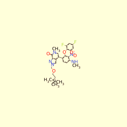 CNc1ccc(-c2cn(C)c(=O)c3nn(COCC[Si](C)(C)C)cc23)c(Oc2ccc(F)cc2F)c1[N+](=O)[O-]